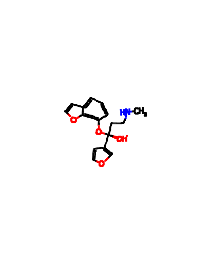 CNCC[C@@](O)(Oc1cccc2ccoc12)c1ccoc1